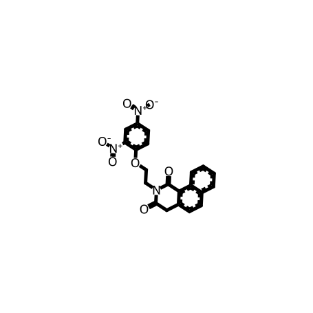 O=C1Cc2ccc3ccccc3c2C(=O)N1CCOc1ccc([N+](=O)[O-])cc1[N+](=O)[O-]